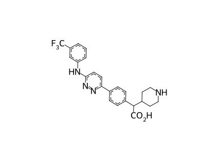 O=C(O)C(c1ccc(-c2ccc(Nc3cccc(C(F)(F)F)c3)nn2)cc1)C1CCNCC1